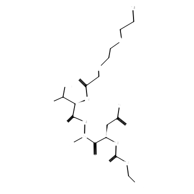 CC(O)[C@@H](NC(=O)COCCOCCN)C(=O)NN(C)C(=O)[C@@H](CC(N)=O)NC(=O)NCC(=O)O